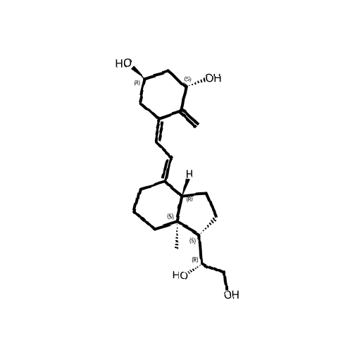 C=C1C(=CC=C2CCC[C@]3(C)[C@@H]([C@@H](O)CO)CC[C@@H]23)C[C@@H](O)C[C@@H]1O